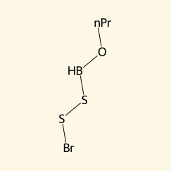 CCCOBSSBr